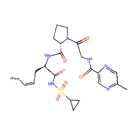 CCCCC/C=C\C[C@@H](NC(=O)[C@@H]1CCCN1C(=O)CNC(=O)c1cnc(C)cn1)C(=O)NS(=O)(=O)C1CC1